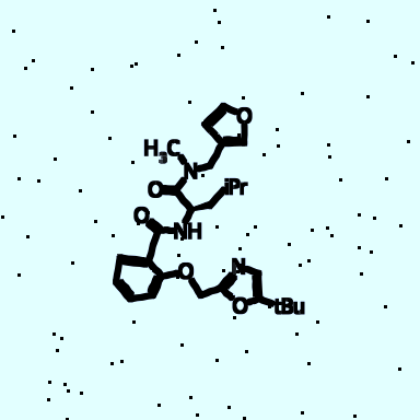 CC(C)C[C@@H](NC(=O)c1ccccc1OCc1ncc(C(C)(C)C)o1)C(=O)N(C)Cc1ccoc1